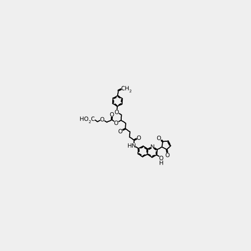 C=Cc1ccc(OCC(CC(=O)CCC(=O)Nc2ccc3cc(O)c(C4C(=O)C=CC4=O)nc3c2)OC(=O)COCC(=O)O)cc1